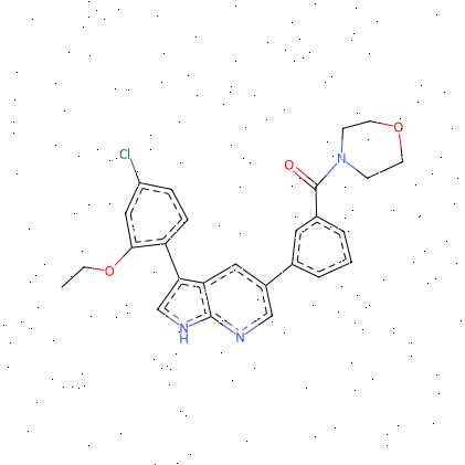 CCOc1cc(Cl)ccc1-c1c[nH]c2ncc(-c3cccc(C(=O)N4CCOCC4)c3)cc12